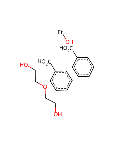 CCO.O=C(O)c1ccccc1.O=C(O)c1ccccc1.OCCOCCO